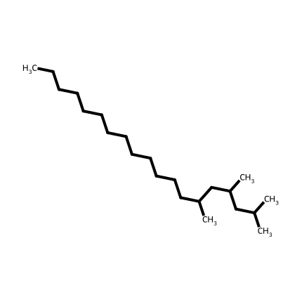 CCCCCCCCCCCCCC(C)CC(C)CC(C)C